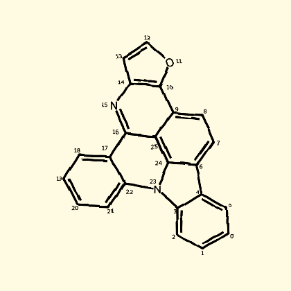 c1ccc2c(c1)c1ccc3c4occc4nc4c5ccccc5n2c1c34